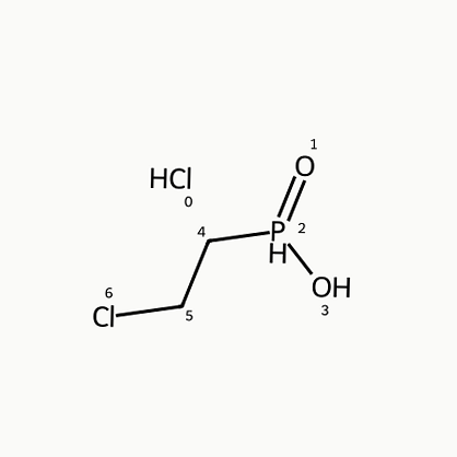 Cl.O=[PH](O)CCCl